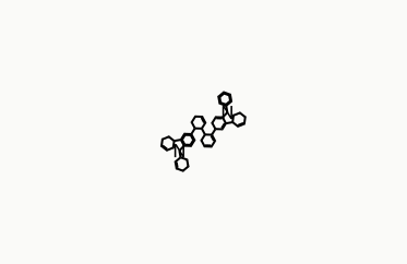 C1=CCC(C2C=CCCC2c2ccc3c(c2)C2CCC=CC2N3C2C=CCCC2)C(C2C=C3C(=CC2)N(c2ccccc2)C2CCC=CC32)=C1